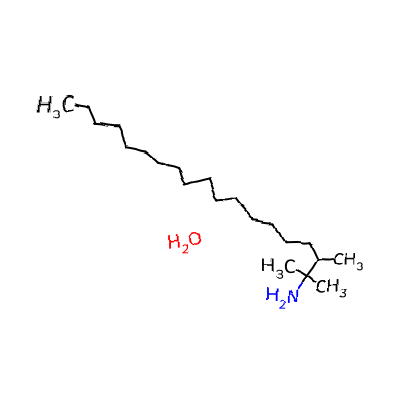 CCCCCCCCCCCCCCCCC(C)C(C)(C)N.O